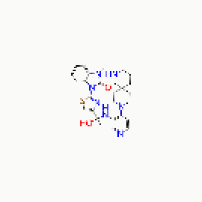 Cn1c(=O)n(-c2nc(C(C)(O)Nc3cnccc3N3CCC4(CCCNC4)CC3)cs2)c2ccccc21